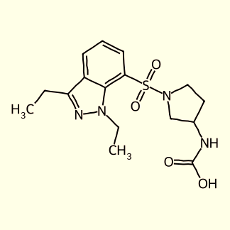 CCc1nn(CC)c2c(S(=O)(=O)N3CCC(NC(=O)O)C3)cccc12